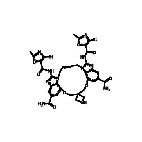 CCc1nc(C)oc1C(=O)Nc1nc2cc(C(N)=O)cc3c2n1C/C=C/Cn1c(NC(=O)c2oc(C)nc2CC)nc2cc(C(N)=O)cc(c21)OCC1(CNC1)CO3